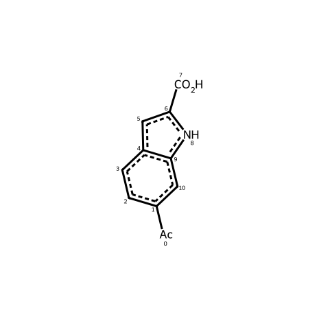 CC(=O)c1ccc2cc(C(=O)O)[nH]c2c1